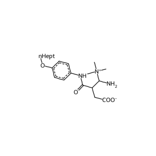 CCCCCCCOc1ccc(NC(=O)C(CC(=O)[O-])C(N)[N+](C)(C)C)cc1